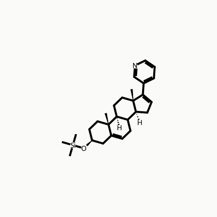 C[C@]12CC[C@H](O[Si](C)(C)C)CC1=CCC1[C@@H]2CC[C@]2(C)C(c3cccnc3)=CC[C@@H]12